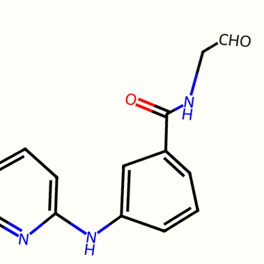 O=CCNC(=O)c1cccc(Nc2ccccn2)c1